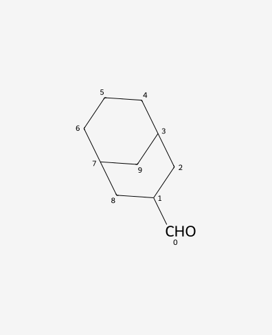 O=CC1CC2CCCC(C1)C2